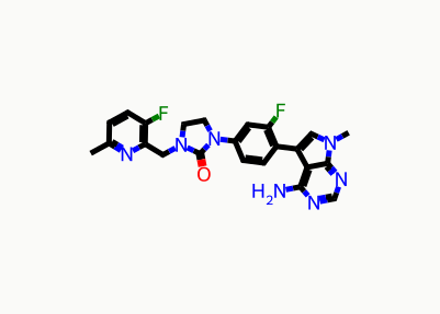 Cc1ccc(F)c(CN2CCN(c3ccc(-c4cn(C)c5ncnc(N)c45)c(F)c3)C2=O)n1